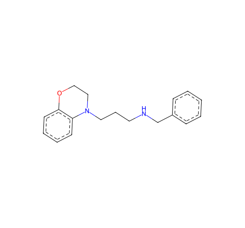 c1ccc(CNCCCN2CCOc3ccccc32)cc1